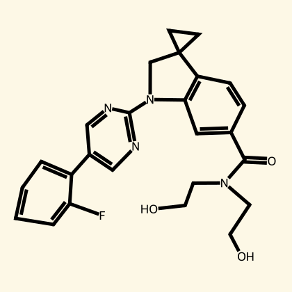 O=C(c1ccc2c(c1)N(c1ncc(-c3ccccc3F)cn1)CC21CC1)N(CCO)CCO